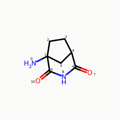 NC12CCC(C1)C(=O)NC2=O